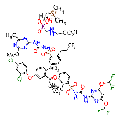 COC(=O)c1cc(Oc2ccc(Cl)cc2Cl)ccc1[N+](=O)[O-].COc1nc(C)nc(NC(=O)NS(=O)(=O)c2ccccc2CCC(F)(F)F)n1.C[S+](C)C.O=C(Nc1nc(OC(F)F)cc(OC(F)F)n1)NS(=O)(=O)c1ccccc1C(=O)O.O=C(O)CNCP(=O)([O-])O